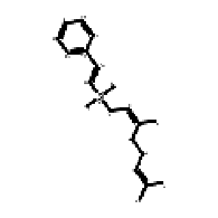 CC(C)=CCCC(C)=CC[Si](C)(C)C=Cc1ccccc1